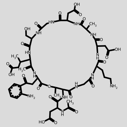 C=C1NC(CC(=O)c2ccccc2N)C(=O)OC(C)C(NC(=O)C(CC(=O)O)NC(C)=O)C(=O)NCC(=O)NC(CCCN)C(=O)NC(CC(=O)O)C(=O)NC(C)C(=O)NC(CC(=O)O)C(=O)NCC(=O)NC(CO)C(=O)NC1C(C)CC(=O)O